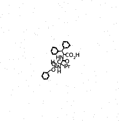 CC(C)C(C)(NC(=O)OCc1ccccc1)C(=O)NC(C(=O)O)C(c1ccccc1)c1ccccc1